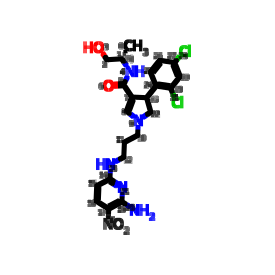 C[C@@H](CO)NC(=O)C1=CN(CCCNc2ccc([N+](=O)[O-])c(N)n2)CC1c1ccc(Cl)cc1Cl